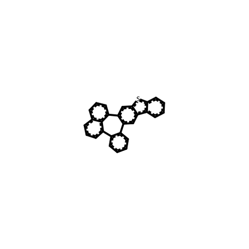 c1ccc2c(c1)-c1cc3c(cc1-c1cccc4cccc-2c14)sc1ccccc13